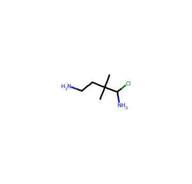 CC(C)(CCN)C(N)Cl